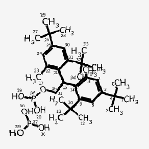 Cc1cc(C(C)(C)C)cc(C(C)(C)C)c1C(COP(O)O)c1c(C)cc(C(C)(C)C)cc1C(C)(C)C.OP(O)O